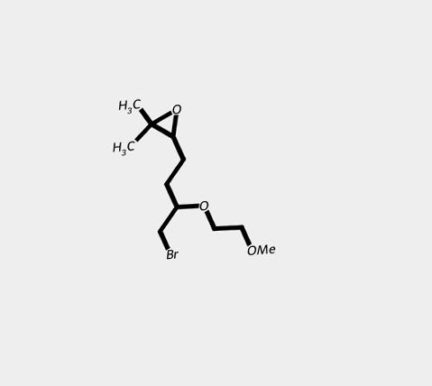 COCCOC(CBr)CCC1OC1(C)C